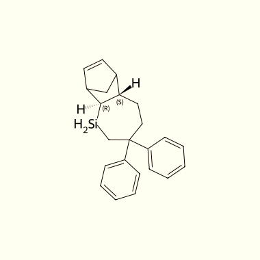 C1=CC2CC1[C@@H]1CCC(c3ccccc3)(c3ccccc3)C[SiH2][C@@H]21